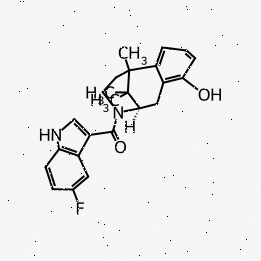 CC12CCN(C(=O)c3c[nH]c4ccc(F)cc34)[C@H](Cc3c(O)cccc31)C2(C)C